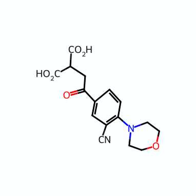 N#Cc1cc(C(=O)CC(C(=O)O)C(=O)O)ccc1N1CCOCC1